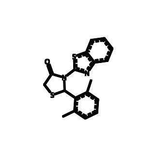 Cc1cccc(C)c1C1SCC(=O)N1c1nc2ccccc2s1